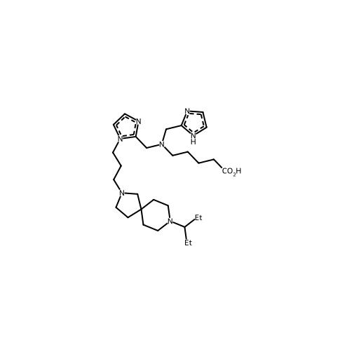 CCC(CC)N1CCC2(CCN(CCCn3ccnc3CN(CCCCC(=O)O)Cc3ncc[nH]3)C2)CC1